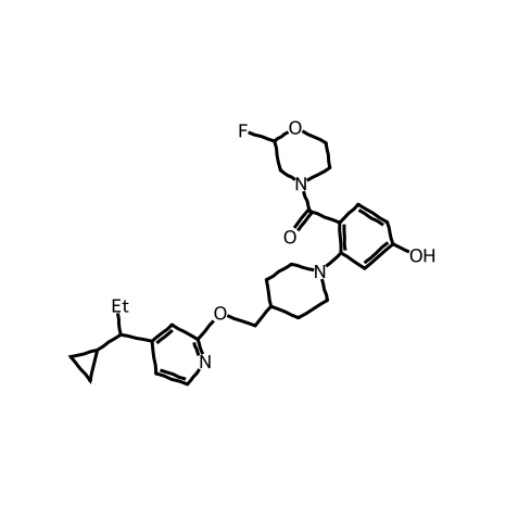 CCC(c1ccnc(OCC2CCN(c3cc(O)ccc3C(=O)N3CCOC(F)C3)CC2)c1)C1CC1